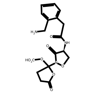 NCc1ccccc1CC(=O)N[C@H]1CON(C2(OC(=O)O)CCC(=O)O2)C1=O